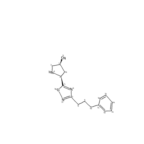 N#C[C@@H]1CN[C@H](c2nc(CCCc3ccccc3)no2)C1